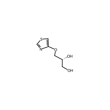 OC[C@@H](O)COc1cscn1